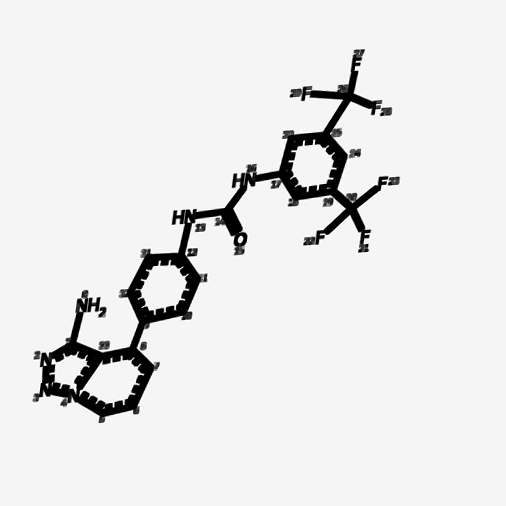 Nc1nnn2cccc(-c3ccc(NC(=O)Nc4cc(C(F)(F)F)cc(C(F)(F)F)c4)cc3)c12